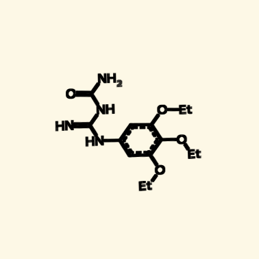 CCOc1cc(NC(=N)NC(N)=O)cc(OCC)c1OCC